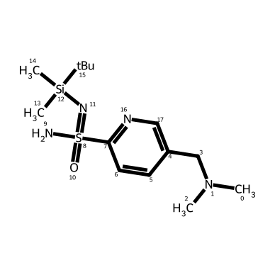 CN(C)Cc1ccc(S(N)(=O)=N[Si](C)(C)C(C)(C)C)nc1